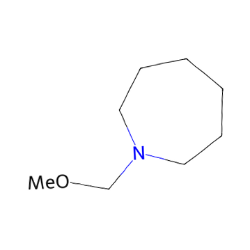 COCN1CCCCCC1